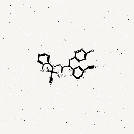 CC(N[C@H](c1ccccc1Cl)C(C)(C)C#N)C(Cc1ccc(Cl)cc1)c1cccc(C#N)c1